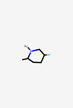 CC(=O)N1CC(F)CCC1C